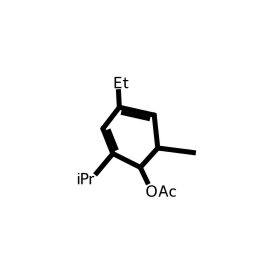 CCC1=CC(C)C(OC(C)=O)C(C(C)C)=C1